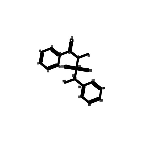 CC(C(=O)c1ccccc1)S(=O)(=O)N(C)c1ccccc1